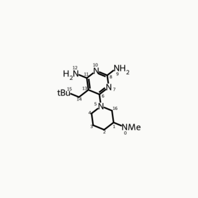 CNC1CCCN(c2nc(N)nc(N)c2CC(C)(C)C)C1